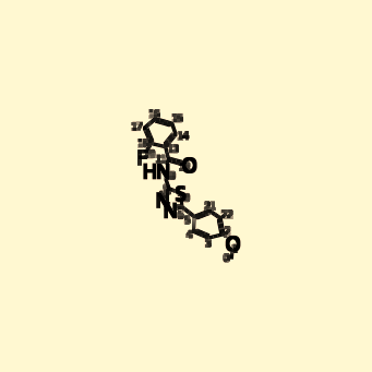 COc1ccc(-c2nnc(NC(=O)c3ccccc3F)s2)cc1